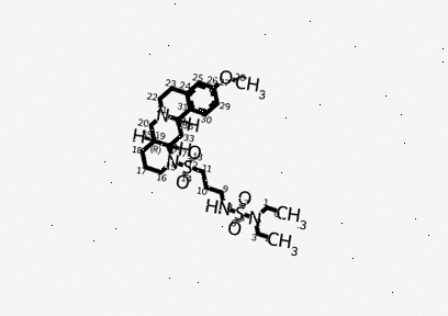 CCN(CC)S(=O)(=O)NCCCS(=O)(=O)N1CCC[C@@H]2CN3CCc4cc(OC)ccc4[C@@H]3C[C@@H]21